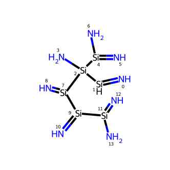 N=[SiH][Si](N)([Si](=N)N)[Si](=N)[Si](=N)[Si](=N)N